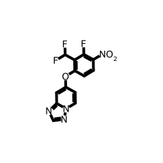 O=[N+]([O-])c1ccc(Oc2ccn3ncnc3c2)c(C(F)F)c1F